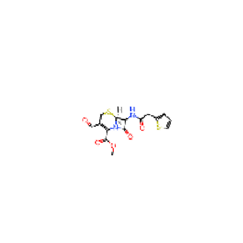 COC(=O)C1=C(C=O)CS[C@H]2C(NC(=O)Cc3cccs3)C(=O)N12